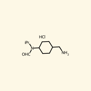 CC(C)N(C=O)C1CCC(CN)CC1.Cl